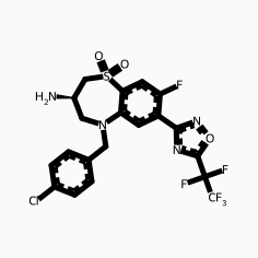 N[C@@H]1CN(Cc2ccc(Cl)cc2)c2cc(-c3noc(C(F)(F)C(F)(F)F)n3)c(F)cc2S(=O)(=O)C1